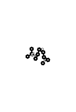 c1ccc(-c2cc(-c3ccccc3)nc(-n3c4ccccc4c4ccc(-c5cccc6oc7ccc(-c8ccc9c(c8)c8ccccc8n9-c8ccccc8)cc7c56)cc43)n2)cc1